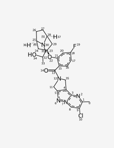 Cc1nc2c3c(nn2cc1Cl)CN(C(=O)c1ccc(F)cc1O[C@H]1C[C@H]2CC[C@@H](C1)N2CC(C)O)C3